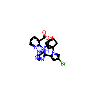 CCCN(c1ncccc1C(=O)O)C1C2=CCC1(n1cc(Br)cc1-c1nnn[nH]1)C=C2